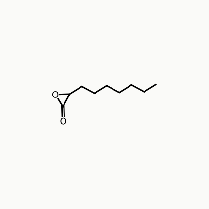 CCCCCCCC1OC1=O